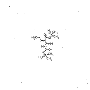 [CH2]CCN(C(=N)NC(=O)OC(C)(C)C)C(=O)OC(C)(C)C